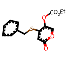 CCOC(=O)Oc1coc(=O)cc1SCc1ccccc1